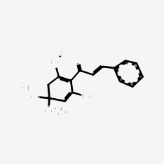 CCOC1=C(C(=O)C=Cc2ccccc2)C(O)=CC(OC)(OCC)C1